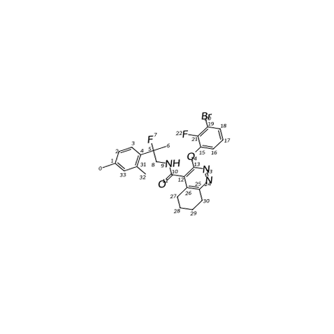 Cc1ccc(C(C)(F)CNC(=O)c2c(Oc3cccc(Br)c3F)nnc3c2CCCC3)c(C)c1